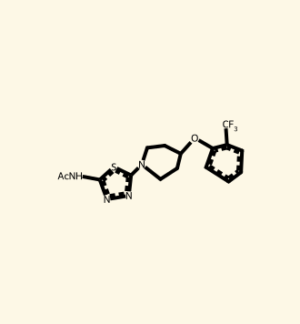 CC(=O)Nc1nnc(N2CCC(Oc3ccccc3C(F)(F)F)CC2)s1